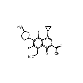 CCc1c(F)c(N2CCC(N)C2)c(F)c2c1c(=O)c(C(=O)O)cn2C1CC1